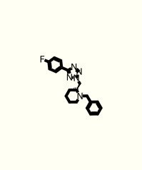 Fc1ccc(-c2nnn(C[C@@H]3CCCCN3Cc3ccccc3)n2)cc1